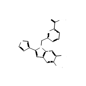 COC(=O)c1cccc(Cn2c(-c3ccsc3)cc3cc(OC)c(C)cc32)n1